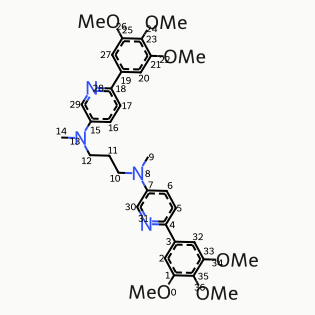 COc1cc(-c2ccc(N(C)CCCN(C)c3ccc(-c4cc(OC)c(OC)c(OC)c4)nc3)cn2)cc(OC)c1OC